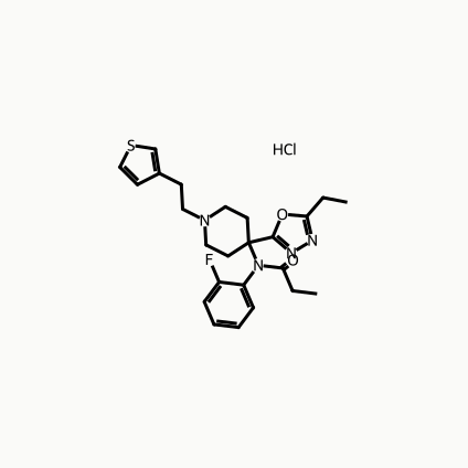 CCC(=O)N(c1ccccc1F)C1(c2nnc(CC)o2)CCN(CCc2ccsc2)CC1.Cl